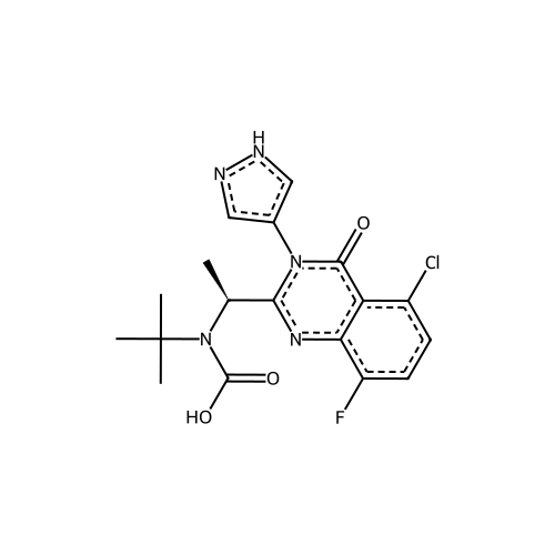 C[C@@H](c1nc2c(F)ccc(Cl)c2c(=O)n1-c1cn[nH]c1)N(C(=O)O)C(C)(C)C